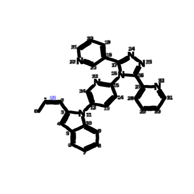 C/C=C\c1cc2ccccc2n1-c1ccc(-n2c(-c3cccnc3)nnc2-c2ccccn2)nc1